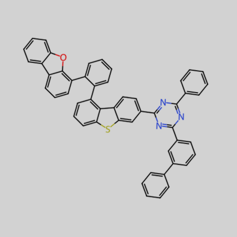 c1ccc(-c2cccc(-c3nc(-c4ccccc4)nc(-c4ccc5c(c4)sc4cccc(-c6ccccc6-c6cccc7c6oc6ccccc67)c45)n3)c2)cc1